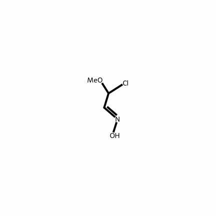 COC(Cl)C=NO